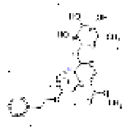 C/C=C1/C(OC2OC(C)[C@@H](O)C(O)[C@H]2O)OC=C(C(=O)OC)[C@H]1CC(=O)OCCc1ccccc1